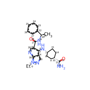 CCn1ncc2c(N[C@H]3CC[C@@H](C(N)=O)CC3)c(C(=O)N[C@H](C)c3ccccc3)cnc21